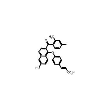 Cc1cc(F)ccc1C(=O)c1cnc2cc(O)ccc2c1Oc1ccc(/C=C/C(=O)O)cc1